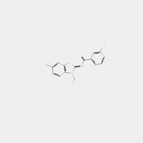 O=C(O)Cn1/c(=N/C(=O)c2cccc(C(F)(F)F)c2)sc2cc(Cl)ccc21